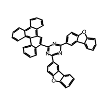 c1ccc2c(c1)oc1ccc(-c3nc(-c4ccc5oc6ccccc6c5c4)nc(-c4cc5c6ccccc6c6ccccc6c5c5ccccc45)n3)cc12